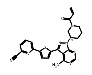 C=CC(=O)N1CCC[C@@H](n2nc(-c3ccc(-c4cccc(C#N)n4)s3)c3c(N)ncnc32)C1